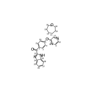 O=C(c1ccc(Oc2nccnc2[C@@H]2CCCOCC2)cc1)c1nc2ccccc2[nH]1